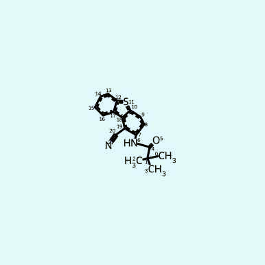 CC(C)(C)C(=O)Nc1ccc2sc3ccccc3c2c1C#N